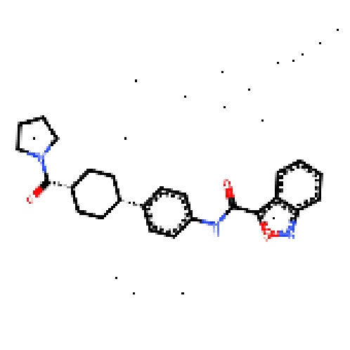 O=C(Nc1ccc([C@H]2CC[C@@H](C(=O)N3CCCC3)CC2)cc1)c1onc2ccccc12